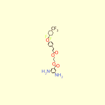 Nc1cc(N)cc(C(=O)OCCCOC(=O)C=Cc2ccc(OC(F)(F)C3CCC(C(F)(F)F)CC3)cc2)c1